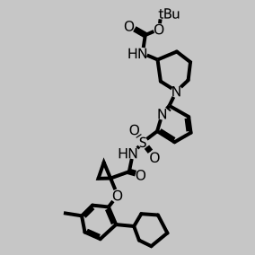 Cc1ccc(C2CCCCC2)c(OC2(C(=O)NS(=O)(=O)c3cccc(N4CCCC(NC(=O)OC(C)(C)C)C4)n3)CC2)c1